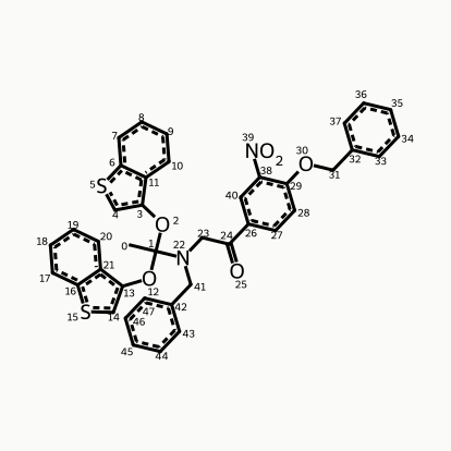 CC(Oc1csc2ccccc12)(Oc1csc2ccccc12)N(CC(=O)c1ccc(OCc2ccccc2)c([N+](=O)[O-])c1)Cc1ccccc1